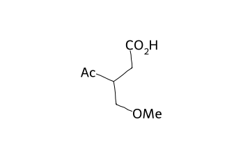 COCC(CC(=O)O)C(C)=O